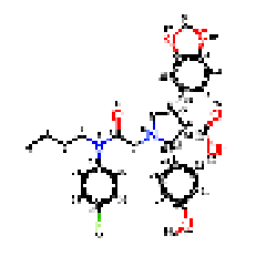 CCCCN(C(=O)CN1C[C@H](c2ccc3c(c2)OCO3)[C@H](C(=O)O)[C@H]1c1ccc(OC)cc1)c1ccc(F)cc1